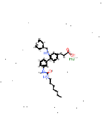 CCCCCCCNC(=O)N(C)c1cccc(-c2ccc(CCC(=O)O)cc2NCc2ccccc2)c1.Cl